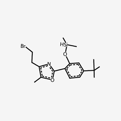 Cc1oc(-c2ccc(C(C)(C)C)cc2O[SiH](C)C)nc1CCBr